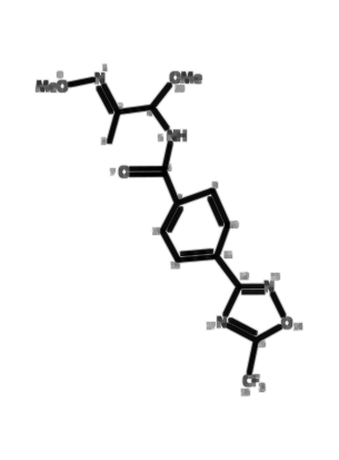 CO/N=C(\C)C(NC(=O)c1ccc(-c2noc(C(F)(F)F)n2)cc1)OC